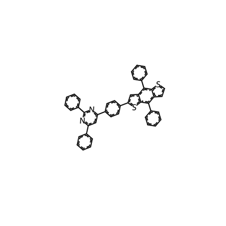 c1ccc(-c2cc(-c3ccc(-c4cc5c(-c6ccccc6)c6sccc6c(-c6ccccc6)c5s4)cc3)nc(-c3ccccc3)n2)cc1